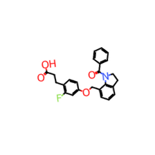 O=C(O)CCc1ccc(OCc2cccc3c2N(C(=O)c2ccccc2)CC3)cc1F